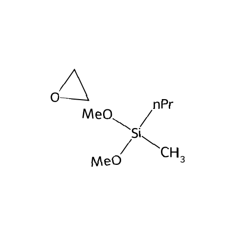 C1CO1.CCC[Si](C)(OC)OC